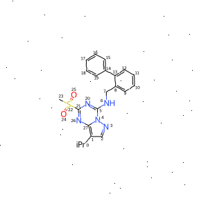 CC(C)c1cnn2c(NCc3ccccc3-c3ccccc3)nc(S(C)(=O)=O)nc12